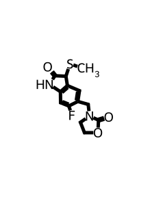 CSC1C(=O)Nc2cc(F)c(CN3CCOC3=O)cc21